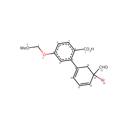 COCOc1ccc(C(=O)O)c(C2=CC=CC(Br)(C=O)C2)c1